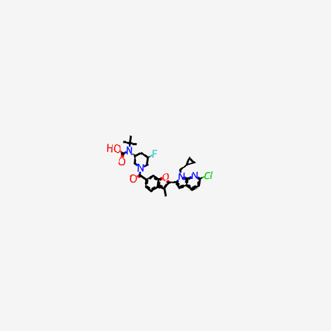 Cc1c(-c2cc3ccc(Cl)nc3n2CC2CC2)oc2cc(C(=O)N3C[C@H](F)C[C@@H](N(C(=O)O)C(C)(C)C)C3)ccc12